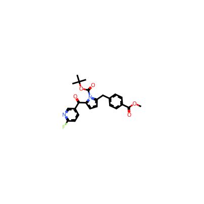 COC(=O)c1ccc(Cc2ccc(C(=O)c3ccc(F)nc3)n2C(=O)OC(C)(C)C)cc1